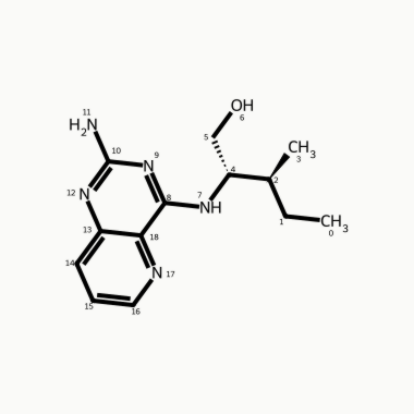 CC[C@H](C)[C@@H](CO)Nc1nc(N)nc2cccnc12